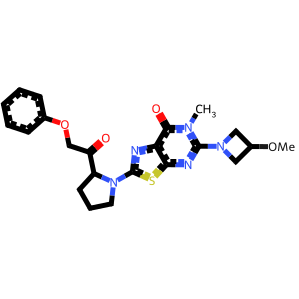 COC1CN(c2nc3sc(N4CCCC4C(=O)COc4ccccc4)nc3c(=O)n2C)C1